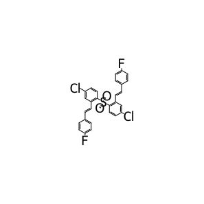 O=S(=O)(c1ccc(Cl)cc1/C=C/c1ccc(F)cc1)c1ccc(Cl)cc1/C=C/c1ccc(F)cc1